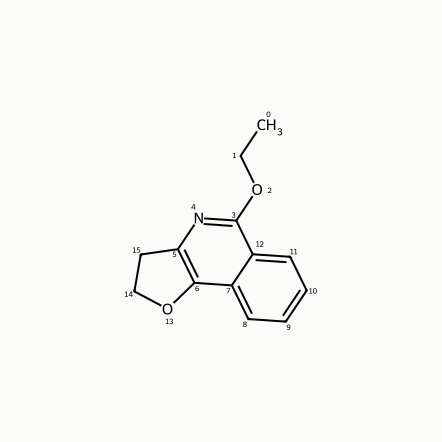 CCOc1nc2c(c3ccccc13)OCC2